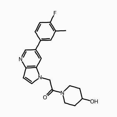 Cc1cc(-c2cnc3ccn(CC(=O)N4CCC(O)CC4)c3c2)ccc1F